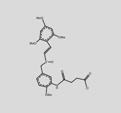 COc1cc(OC)c(C=C[S+]([O-])Cc2ccc(OC)c(NC(=O)CCC(=O)Cl)c2)c(OC)c1